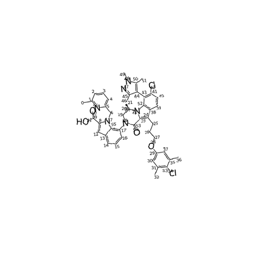 Cc1cccc(Cn2c(C(=O)O)cc3cccc(N4C[C@@H](C)n5c(c(CCCOc6cc(C)c(Cl)c(C)c6)c6ccc(Cl)c(-c7c(C)nn(C)c7C)c65)C4=O)c32)n1